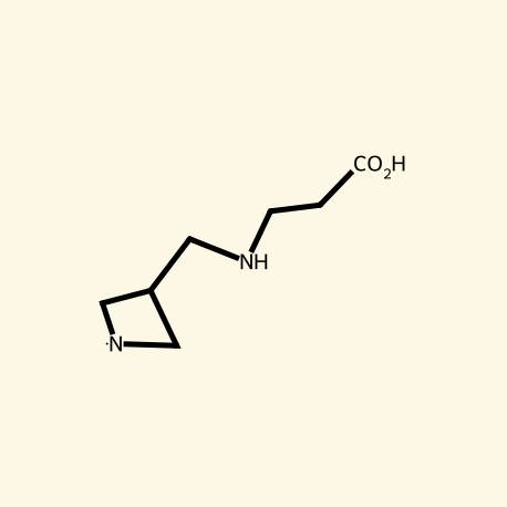 O=C(O)CCNCC1C[N]C1